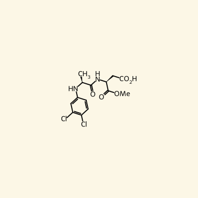 COC(=O)[C@H](CC(=O)O)NC(=O)[C@H](C)Nc1ccc(Cl)c(Cl)c1